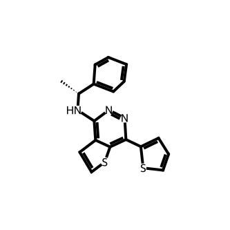 C[C@@H](Nc1nnc(-c2cccs2)c2sccc12)c1ccccc1